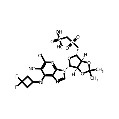 CC1(C)O[C@@H]2[C@H](O1)[C@@H](CS(=O)(=O)CP(=O)(O)O)O[C@H]2n1cnc2c(NC3CC(F)(F)C3)c(C#N)c(Cl)nc21